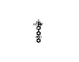 O=S(=O)(c1ccccc1)c1ccc(-c2ccc(C(O)(C(F)(F)F)C(F)(F)F)cn2)cc1